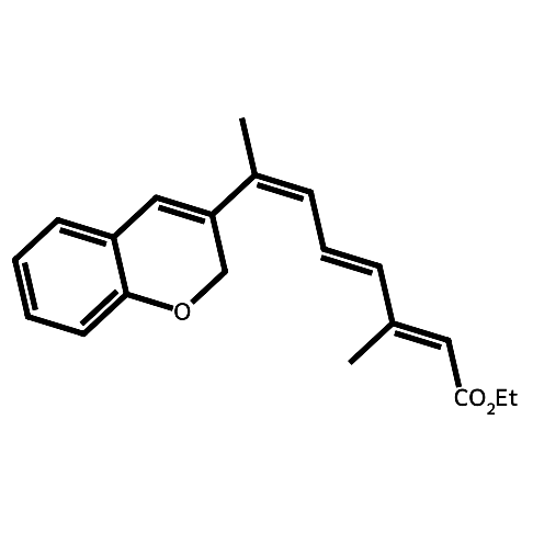 CCOC(=O)/C=C(C)/C=C/C=C(/C)C1=Cc2ccccc2OC1